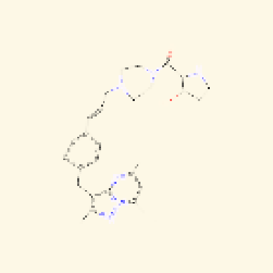 CCc1nn2c(C)cc(C)nc2c1Cc1ccc(C=CCN2CCN(C(=O)C3NCCC3O)CC2)cc1